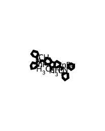 CCCCC(C)(c1ccc2c(c1)C(C)(C)c1cc(C(C)(CCC)N(c3ccccc3)c3ccccc3)ccc1-2)N(c1ccccc1)c1ccccc1